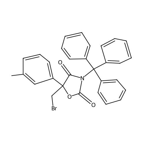 Cc1cccc(C2(CBr)OC(=O)N(C(c3ccccc3)(c3ccccc3)c3ccccc3)C2=O)c1